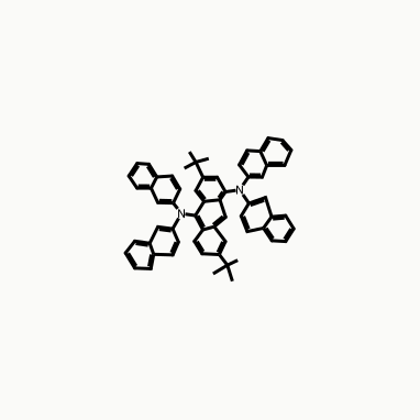 CC(C)(C)c1ccc2c(N(c3ccc4ccccc4c3)c3ccc4ccccc4c3)c3cc(C(C)(C)C)cc(N(c4ccc5ccccc5c4)c4ccc5ccccc5c4)c3cc2c1